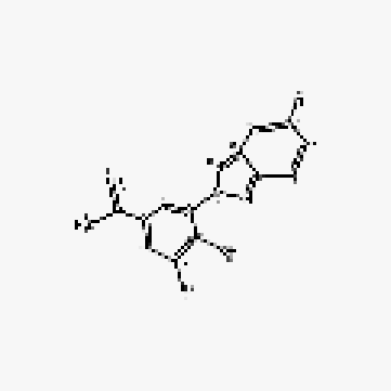 C=C(C)c1cc(-n2nc3ccc(Cl)cc3n2)c(O)c(C(C)(C)C)c1